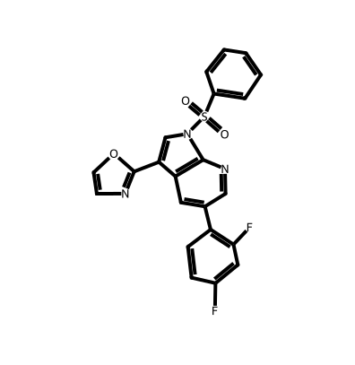 O=S(=O)(c1ccccc1)n1cc(-c2ncco2)c2cc(-c3ccc(F)cc3F)cnc21